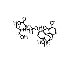 COc1ccc2c3c1O[C@H]1C(OC(=O)C[C@H](NC(=O)[C@H](C)O)C(=O)O)=CC[C@@]4(O)[C@H](CCC[C@]314)C2